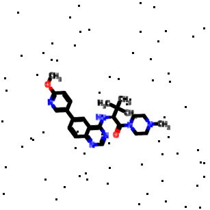 COc1ccc(-c2ccc3ncnc(N[C@H](C(=O)N4CCN(C)CC4)C(C)(C)C)c3c2)cn1